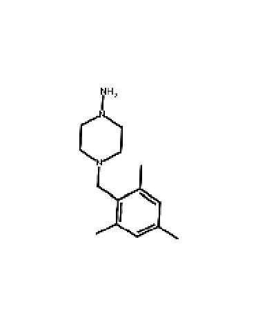 Cc1cc(C)c(CN2CCN(N)CC2)c(C)c1